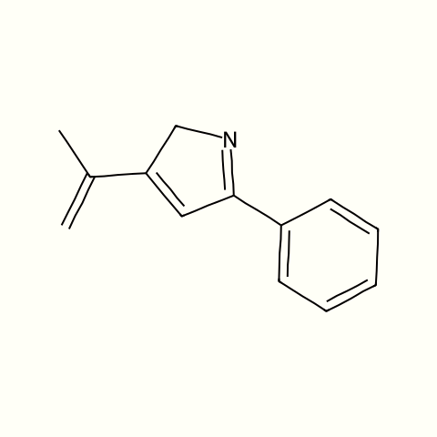 C=C(C)C1=CC(c2ccccc2)=NC1